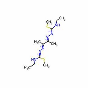 CCN/C(=N/N=C(C)/C(C)=N/N=C(/NCC)SC)SC